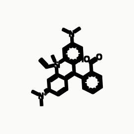 C=C[Si]1(C)C2=CC(=[N+](C)C)C=CC2=C(c2ccccc2C(=O)O)c2ccc(N(C)C)cc21